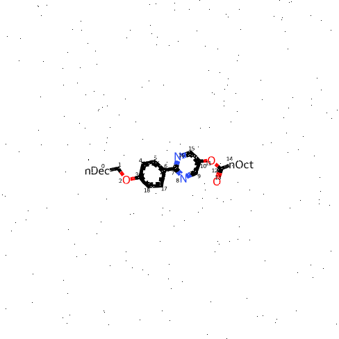 CCCCCCCCCCCOc1ccc(-c2ncc(OC(=O)CCCCCCCC)cn2)cc1